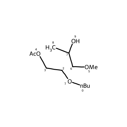 CCCCOCCOC(C)=O.COCC(C)O